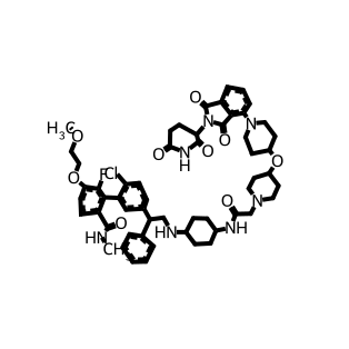 CNC(=O)c1ccc(OCCOC)c(F)c1-c1cc(C(CNC2CCC(NC(=O)CN3CCC(OC4CCN(c5cccc6c5C(=O)N(C5CCC(=O)NC5=O)C6=O)CC4)CC3)CC2)c2ccccc2)ccc1Cl